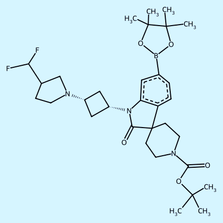 CC(C)(C)OC(=O)N1CCC2(CC1)C(=O)N([C@H]1C[C@@H](N3CCC(C(F)F)C3)C1)c1cc(B3OC(C)(C)C(C)(C)O3)ccc12